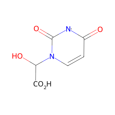 O=C1C=CN(C(O)C(=O)O)C(=O)[N]1